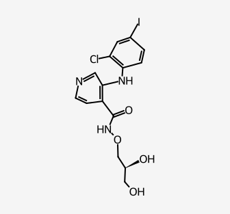 O=C(NOC[C@@H](O)CO)c1ccncc1Nc1ccc(I)cc1Cl